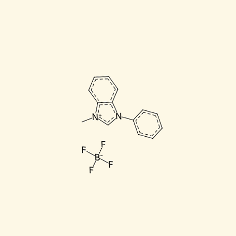 C[n+]1cn(-c2ccccc2)c2ccccc21.F[B-](F)(F)F